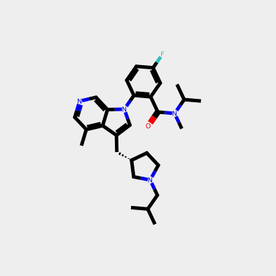 Cc1cncc2c1c(C[C@@H]1CCN(CC(C)C)C1)cn2-c1ccc(F)cc1C(=O)N(C)C(C)C